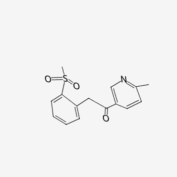 Cc1ccc(C(=O)Cc2ccccc2S(C)(=O)=O)cn1